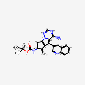 C=C1c2c(-c3cnc4ccccc4c3)c3c(N)ncnn3c2CC1NC(=O)OC(C)(C)C